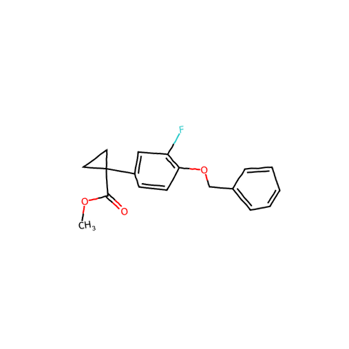 COC(=O)C1(c2ccc(OCc3ccccc3)c(F)c2)CC1